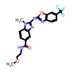 COCCNC(=O)c1ccc2c(c1)nc(Nc1nc3ccc(C(F)(F)F)cc3o1)n2C